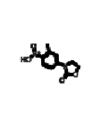 Cc1cc(N2CCOC2=O)ccc1[N+](=O)O